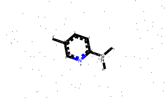 Cc1ccc([SiH](C)C)nc1